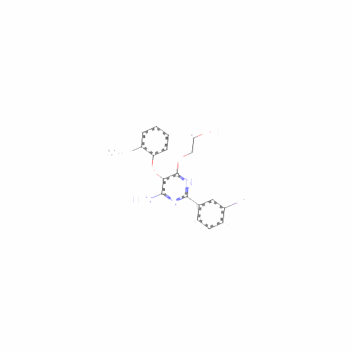 COc1ccccc1Oc1c(N)nc(-c2cccc(I)c2)nc1OCCO